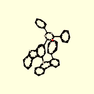 c1ccc(-c2nc(-c3ccccc3)nc(-c3cc(-n4c5ccccc5c5cccc(-c6ccccc6)c54)c4c(c3)sc3ccccc34)n2)cc1